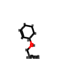 CCCCCCOC1C=CCCC1